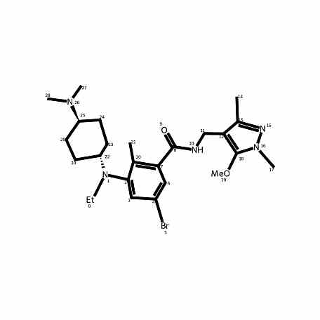 CCN(c1cc(Br)cc(C(=O)NCc2c(C)nn(C)c2OC)c1C)[C@H]1CC[C@H](N(C)C)CC1